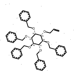 C=CCO[C@@H]1[C@@H](OCc2ccccc2)[C@H](OCc2ccccc2)[C@@H](OCc2ccccc2)[C@H](OCc2ccccc2)[C@@H]1OCc1ccccc1